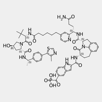 Cc1ncsc1-c1ccc([C@H](C)NC(=O)[C@@H]2C[C@@H](O)CN2C(=O)[C@@H](NC(=O)CCCCCc2ccnc([C@H](CCC(N)=O)NC(=O)[C@@H]3Cc4cccc5c4N3C(=O)[C@@H](NC(=O)c3cc4cc(C(=O)P(=O)(O)O)ccc4[nH]3)CC5)c2)C(C)(C)C)cc1